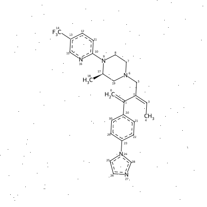 C=C(/C(=C\C)CN1CCN(c2ccc(C(F)(F)F)cn2)[C@H](C)C1)c1ccc(-n2ccnc2)cc1